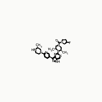 C[C@@H]1CN(c2ccc(-c3n[nH]c4cnc(N5[C@H](C)CN(C(=O)N6CCC(F)C6)C[C@@H]5C)nc34)cn2)CCN1